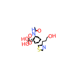 CC(=O)Nc1ccccc1[As](=O)(O)OO.OCCCc1cscn1